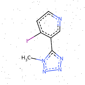 Cn1nnnc1-c1cnccc1I